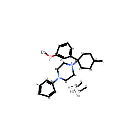 CCOc1cccc(C2(N3CCN(c4ccccc4)CC3)CCC(C)CC2)c1.CS(=O)(=O)O.CS(=O)(=O)O